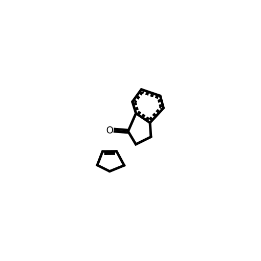 C1=CCCC1.O=C1CCc2ccccc21